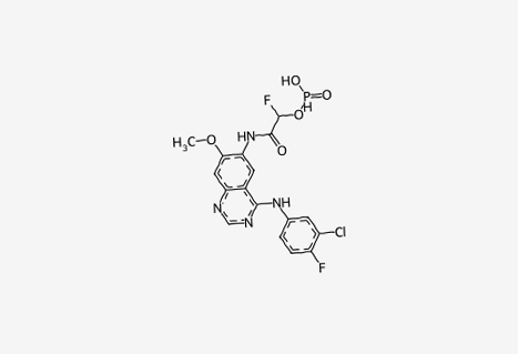 COc1cc2ncnc(Nc3ccc(F)c(Cl)c3)c2cc1NC(=O)C(F)O[PH](=O)O